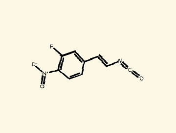 O=C=N/C=C/c1ccc([N+](=O)[O-])c(F)c1